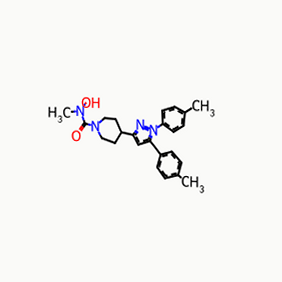 Cc1ccc(-c2cc(C3CCN(C(=O)N(C)O)CC3)nn2-c2ccc(C)cc2)cc1